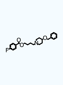 O=C(OCCCCN1CCC(OCc2ccccc2)CC1)c1ccc(F)cc1